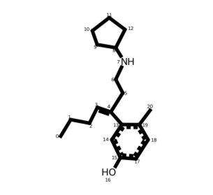 CCC/C=C(/CCNC1CCCC1)c1cc(O)ccc1C